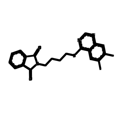 Cc1cc2ncnc(SCCCCN3C(=O)c4ccccc4C3=O)c2cc1C